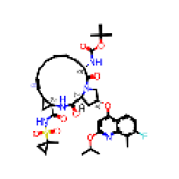 Cc1c(F)ccc2c(O[C@@H]3C[C@H]4C(=O)N[C@]5(C(=O)NS(=O)(=O)C6(C)CC6)CC5/C=C\CCCCC[C@H](NC(=O)OC(C)(C)C)C(=O)N4C3)cc(OC(C)C)nc12